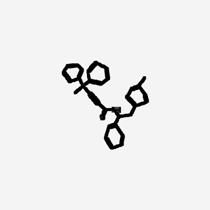 Cc1ccc(CC(NC(=O)C#C[Si](C)(c2ccccc2)c2ccccc2)c2ccccc2)cc1